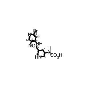 O=C(O)NC1CNCC(CNc2cc(Br)ncc2[N+](=O)[O-])C1